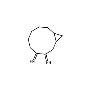 N=C1CCCCCC2CC2CC1=N